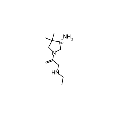 C=C(CNCC)N1C[C@@H](N)C(C)(C)C1